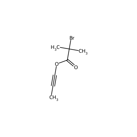 CC#COC(=O)C(C)(C)Br